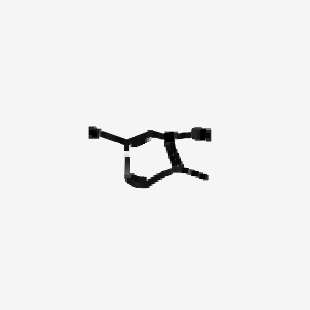 Cc1ccc(Br)c[n+]1O